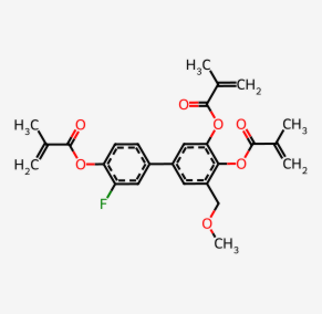 C=C(C)C(=O)Oc1ccc(-c2cc(COC)c(OC(=O)C(=C)C)c(OC(=O)C(=C)C)c2)cc1F